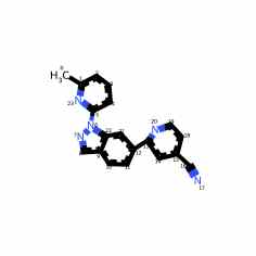 Cc1cccc(-n2ncc3ccc(-c4cc(C#N)ccn4)cc32)n1